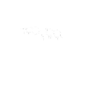 CCCCCn1c(=O)ccc2cnc(Nc3ccc4oc(=O)[nH]c4c3)nc21